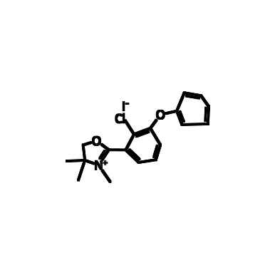 C[N+]1=C(c2cccc(Oc3ccccc3)c2Cl)OCC1(C)C.[I-]